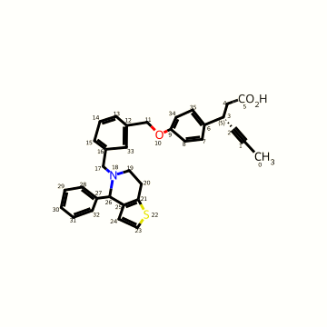 CC#C[C@@H](CC(=O)O)c1ccc(OCc2cccc(CN3CCc4sccc4C3c3ccccc3)c2)cc1